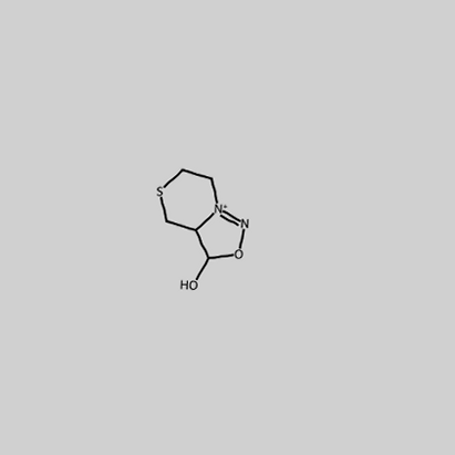 OC1ON=[N+]2CCSCC12